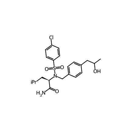 CC(C)C[C@H](C(N)=O)N(Cc1ccc(CC(C)O)cc1)S(=O)(=O)c1ccc(Cl)cc1